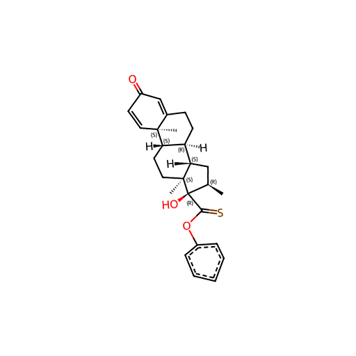 C[C@@H]1C[C@H]2[C@@H]3CCC4=CC(=O)C=C[C@]4(C)[C@H]3CC[C@]2(C)[C@@]1(O)C(=S)Oc1ccccc1